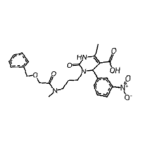 CC1=C(C(=O)O)C(c2cccc([N+](=O)[O-])c2)N(CCCN(C)C(=O)COCc2ccccc2)C(=O)N1